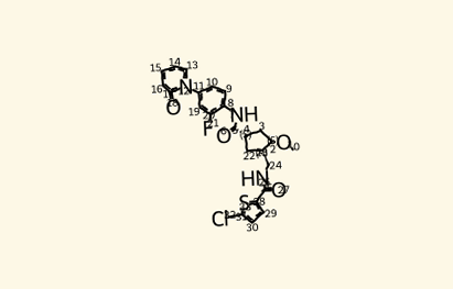 CO[C@H]1C[C@@H](C(=O)Nc2ccc(-n3ccccc3=O)cc2F)C[C@@H]1CNC(=O)c1ccc(Cl)s1